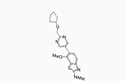 CNc1nc2ccc(-c3cnc(COC4CCCC4)nc3)c(OC)c2s1